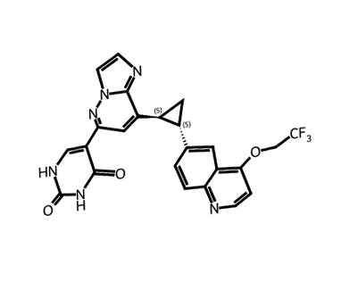 O=c1[nH]cc(-c2cc([C@H]3C[C@@H]3c3ccc4nccc(OCC(F)(F)F)c4c3)c3nccn3n2)c(=O)[nH]1